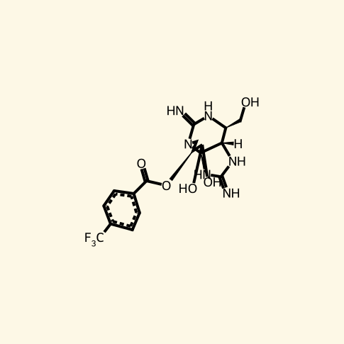 N=C1N[C@H]2[C@H](CO)NC(=N)N3C[C@H](OC(=O)c4ccc(C(F)(F)F)cc4)C(O)(O)[C@]23N1